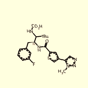 Cn1nncc1-c1csc(C(=O)N[C@@H](Cc2cccc(F)c2)C(NC(=O)O)C(C)(C)C)c1